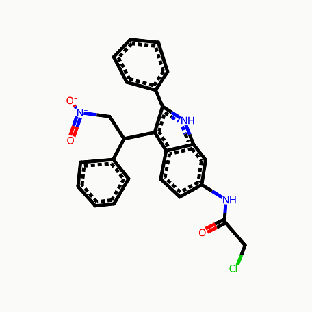 O=C(CCl)Nc1ccc2c(C(C[N+](=O)[O-])c3ccccc3)c(-c3ccccc3)[nH]c2c1